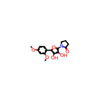 COc1ccc(-c2oc(N3CCCC3=O)c(O)c2O)c(OC)c1